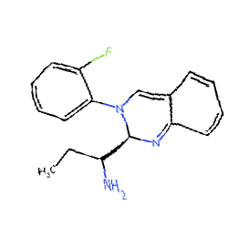 CCC(N)[C@@H]1N=c2ccccc2=CN1c1ccccc1F